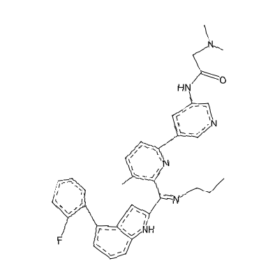 CCC/N=C(/c1cc2c(-c3ccccc3F)cccc2[nH]1)c1nc(-c2cncc(NC(=O)CN(C)C)c2)ccc1C